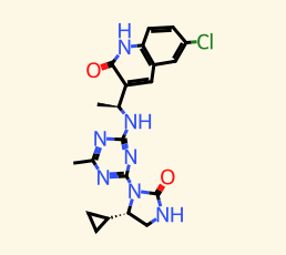 Cc1nc(N[C@@H](C)c2cc3cc(Cl)ccc3[nH]c2=O)nc(N2C(=O)NC[C@@H]2C2CC2)n1